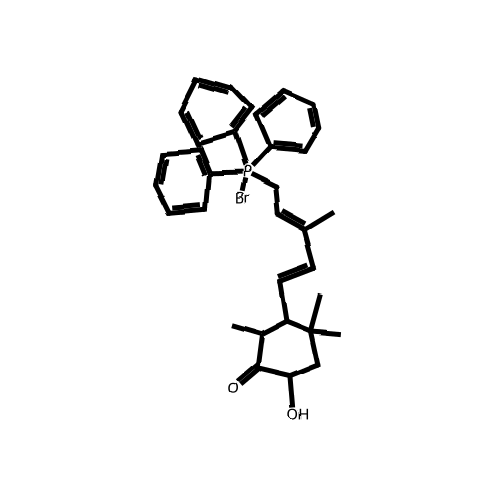 CC(C=CC1C(C)C(=O)C(O)CC1(C)C)=CCP(Br)(c1ccccc1)(c1ccccc1)c1ccccc1